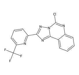 FC(F)(F)c1cccc(-c2nc3c4ccccc4nc(Cl)n3n2)n1